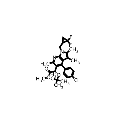 COC(=O)[C@@H](OC(C)(C)C)c1c(C)nc2c(c(C)c(C)n2CC2CC2(F)F)c1-c1ccc(Cl)cc1